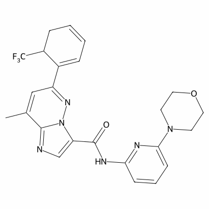 Cc1cc(C2=CC=CCC2C(F)(F)F)nn2c(C(=O)Nc3cccc(N4CCOCC4)n3)cnc12